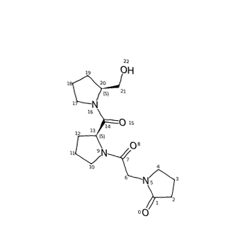 O=C1CCCN1CC(=O)N1CCC[C@H]1C(=O)N1CCC[C@H]1CO